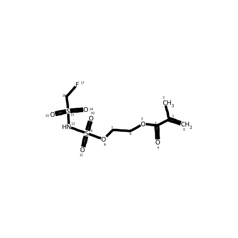 C=C(C)C(=O)OCCOS(=O)(=O)NS(=O)(=O)CF